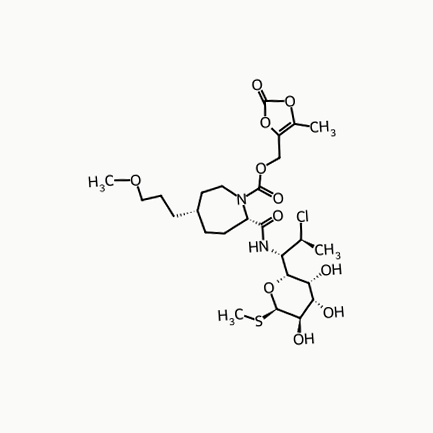 COCCC[C@H]1CC[C@@H](C(=O)N[C@@H]([C@H]2O[C@H](SC)[C@H](O)[C@@H](O)[C@H]2O)[C@H](C)Cl)N(C(=O)OCc2oc(=O)oc2C)CC1